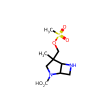 CC1(COS(C)(=O)=O)CN(C(=O)O)C2CNC21